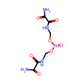 NC(=O)C(=O)NCO[PH](=O)OCNC(=O)C(N)=O